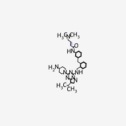 CC(C)c1cnn2c(NCc3ccccc3Cc3cccc(NC(=O)/C=C/CN(C)C)c3)nc(N3CCC(N)CC3)nc12